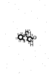 CN(c1cc[nH]c(=O)c1)c1ccccc1I.[H+]